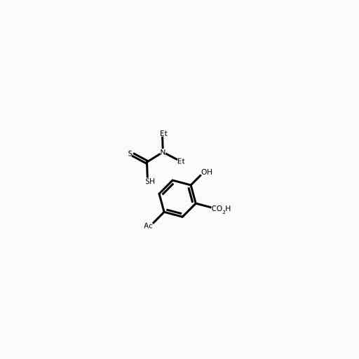 CC(=O)c1ccc(O)c(C(=O)O)c1.CCN(CC)C(=S)S